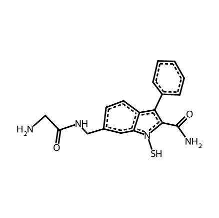 NCC(=O)NCc1ccc2c(-c3ccccc3)c(C(N)=O)n(S)c2c1